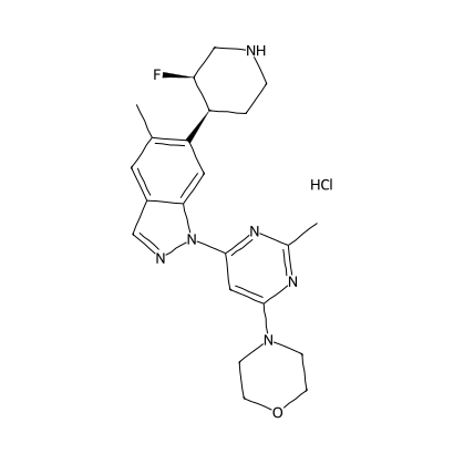 Cc1nc(N2CCOCC2)cc(-n2ncc3cc(C)c([C@@H]4CCNC[C@@H]4F)cc32)n1.Cl